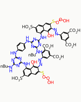 CCCCNc1nc(Nc2ccc(Nc3nc(NCCCC)nc(Nc4cc(S(=O)(=O)O)cc5cc(SOOO)c(N=Nc6cc(C(=O)O)cc(C(=O)O)c6)c(O)c45)n3)cc2)nc(Nc2cc(S(=O)(=O)O)cc3cc(SOOO)c(N=Nc4cc(C(=O)O)cc(C(=O)O)c4)c(O)c23)n1